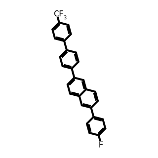 Fc1ccc(-c2ccc3cc(-c4ccc(-c5ccc(C(F)(F)F)cc5)cc4)ccc3c2)cc1